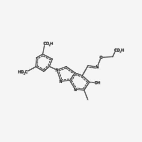 Cc1nc2nn(-c3cc(C(=O)O)cc(C(=O)O)c3)cc2c(C=NOCC(=O)O)c1O